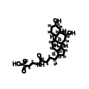 C[C@H](CCC(=O)NCCS(=O)(=O)O)C1CC[C@H]2[C@@H]3C[C@H](O)[C@@H]4C[C@H](O)CC[C@]4(C)[C@H]3CC[C@]12C